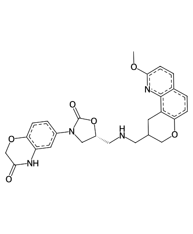 COc1ccc2ccc3c(c2n1)CC(CNC[C@@H]1CN(c2ccc4c(c2)NC(=O)CO4)C(=O)O1)CO3